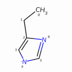 CCC1=C[N]C=N1